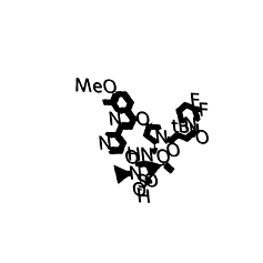 C=C[C@@H]1CC1(NC(=O)[C@@H]1C[C@@H](Oc2cc(-c3cccnc3)nc3c(C)c(OC)ccc23)CN1C(=O)[C@@H](CC(=O)N1CCCC(F)(F)C1)C(C)(C)C)C(=O)N(C1CC1)[SH](=O)=O